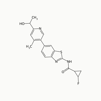 Cc1cc(C(C)O)ncc1-c1ccc2nc(NC(=O)C3CC3F)sc2c1